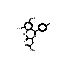 COC(=O)CC1N=C(c2ccc(Cl)cc2)c2cc(OC)cc(C)c2NC1=O